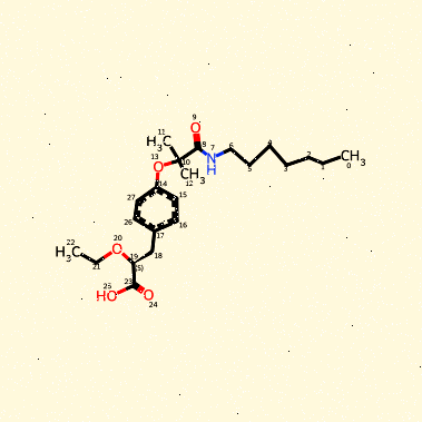 CCCCCCCNC(=O)C(C)(C)Oc1ccc(C[C@H](OCC)C(=O)O)cc1